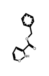 O=C(OCc1ccccc1)C1=CC=CON1